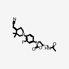 CC(=O)NC[C@H]1CN(c2ccc(N3CCC(=CC#N)C(C)(C)C3)c(F)c2)C(=O)O1